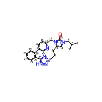 CCCc1cn(CC(C)C)c(=O)n1Cc1ccc(-c2ccccc2-c2nnn[nH]2)cn1